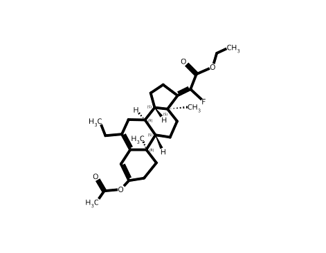 CCOC(=O)C(F)=C1CC[C@H]2[C@@H]3CC(CC)=C4C=C(OC(C)=O)CC[C@]4(C)[C@H]3CC[C@]12C